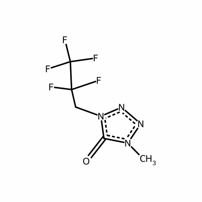 Cn1nnn(CC(F)(F)C(F)(F)F)c1=O